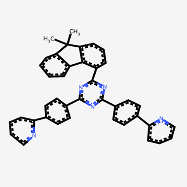 CC1(C)c2ccccc2-c2c(-c3nc(-c4ccc(-c5ccccn5)cc4)nc(-c4ccc(-c5ccccn5)cc4)n3)cccc21